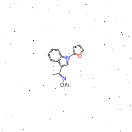 CC(=O)O/N=C(\C)c1cn(-c2ccco2)c2ccccc12